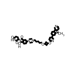 Cn1c2ccncc2c2ccc(-c3ccc(O[C@H]4C[C@H](OCCCCCN5CCN(c6ccc7c(c6)C(=O)N(C6CCC(=O)NC6=O)C7O)CC5)C4)nc3)cc21